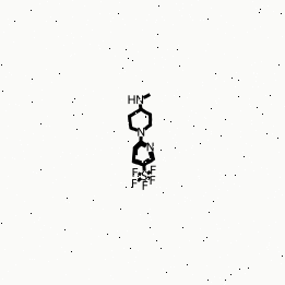 CNC1CCN(c2ccc(S(F)(F)(F)(F)F)cn2)CC1